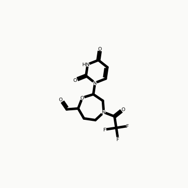 O=CC1CCN(C(=O)C(F)(F)F)CC(n2ccc(=O)[nH]c2=O)O1